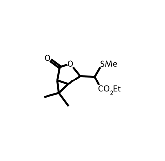 CCOC(=O)C(SC)C1OC(=O)C2C1C2(C)C